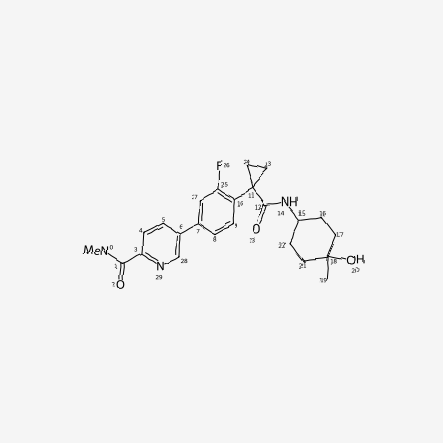 CNC(=O)c1ccc(-c2ccc(C3(C(=O)NC4CCC(C)(O)CC4)CC3)c(F)c2)cn1